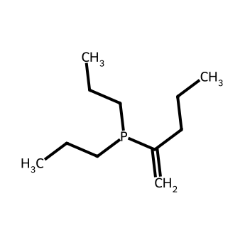 C=C(CCC)P(CCC)CCC